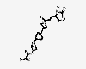 O=C1N[C@H](CCC(=O)N2CC(c3ccc(N4CC(OC(F)C(F)F)C4)cc3)C2)CO1